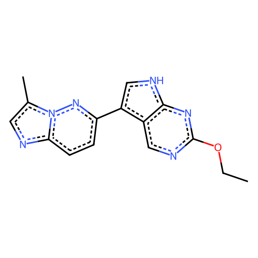 CCOc1ncc2c(-c3ccc4ncc(C)n4n3)c[nH]c2n1